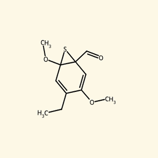 CCC1=CC2(OC)SC2(C=O)C=C1OC